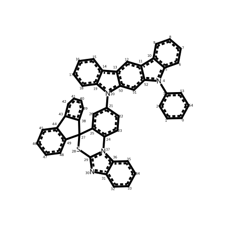 c1ccc(-n2c3ccccc3c3cc4c5ccccc5n(-c5ccc6c(c5)C5(Sc7nc8ccccc8n7-6)c6ccccc6-c6ccccc65)c4cc32)cc1